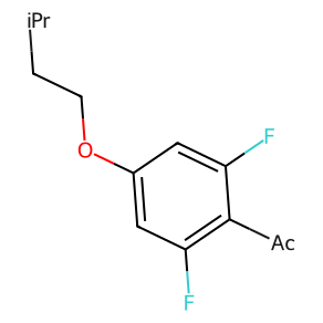 CC(=O)c1c(F)cc(OCCC(C)C)cc1F